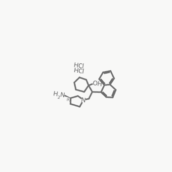 Cl.Cl.N[C@@H]1CCN(CC(c2cccc3ccccc23)C2(O)CCCCC2)C1